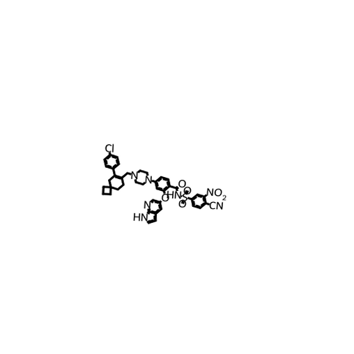 N#Cc1ccc(S(=O)(=O)NC(=O)c2ccc(N3CCN(CC4=C(c5ccc(Cl)cc5)CC5(CCC5)CC4)CC3)cc2Oc2cnc3[nH]ccc3c2)cc1[N+](=O)[O-]